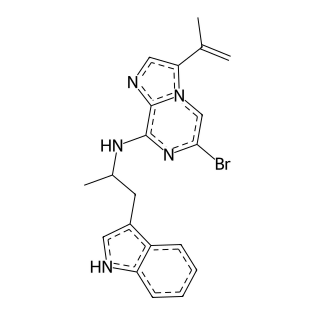 C=C(C)c1cnc2c(NC(C)Cc3c[nH]c4ccccc34)nc(Br)cn12